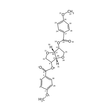 COc1ccc(C(=O)OC2CO[C@@H]3C(OC(=O)c4ccc(OC)cc4)CO[C@H]23)cc1